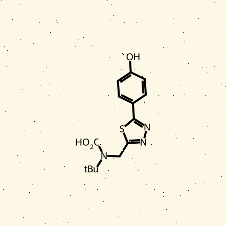 CC(C)(C)N(Cc1nnc(-c2ccc(O)cc2)s1)C(=O)O